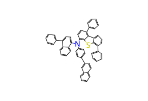 c1ccc(-c2ccc(N(c3ccc(-c4ccc5ccccc5c4)cc3)c3ccc(-c4ccccc4)c4c3sc3c(-c5ccccc5)cccc34)c3ccccc23)cc1